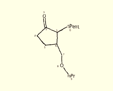 CCCCCC1C(=O)CCC1COCCC